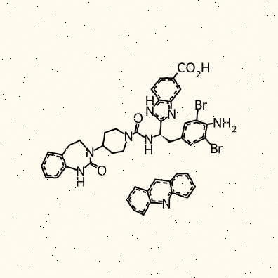 Nc1c(Br)cc(C[C@@H](NC(=O)N2CCC(N3CCc4ccccc4NC3=O)CC2)c2nc3cc(C(=O)O)ccc3[nH]2)cc1Br.c1ccc2nc3ccccc3cc2c1